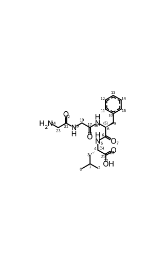 CC(C)C[C@H](NC(=O)[C@H](Cc1ccccc1)NC(=O)CNC(=O)CN)C(=O)O